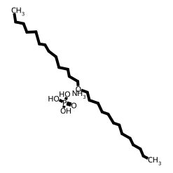 CCCCCCCCCCCCCOCCCCCCCCCCCCC.N.O=P(O)(O)O